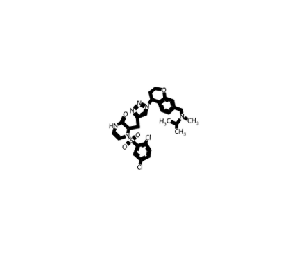 CC(C)N(C)Cc1ccc2c(c1)OCCC2n1cc(CC2C(=O)NC=CN2S(=O)(=O)c2cc(Cl)ccc2Cl)nn1